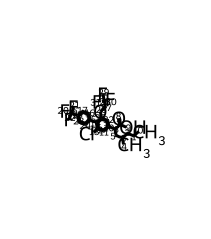 CCCC(C)CC(C(=O)O)c1cc(Cl)c(-c2ccc(C(F)(F)F)cc2)c(OCC(F)(F)F)c1